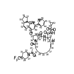 O=C1NC2(C(=O)NS(=O)(=O)C3CC3)C[C@H]2/C=C\CCCCC[C@H](CC(=O)N2CCC(C(F)(F)F)CC2)C(=O)N2C[C@H](Oc3cc(-c4ccccn4)nc4c5c(ccc34)CCC5)C[C@@H]12